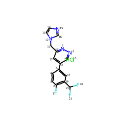 Cl.Fc1ccc(-c2cnnc(Cn3ccnc3)c2)cc1C(F)F